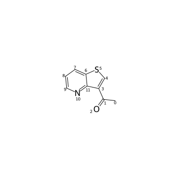 CC(=O)c1csc2cccnc12